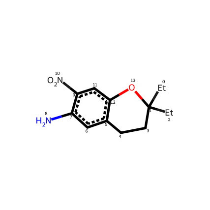 CCC1(CC)CCc2cc(N)c([N+](=O)[O-])cc2O1